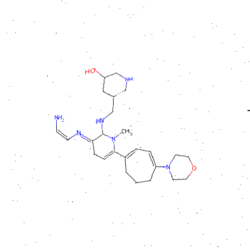 CN1C(C2=CC=C(N3CCOCC3)CCC2)=CC/C(=N\C=C/N)C1NCC1CNCC(O)C1